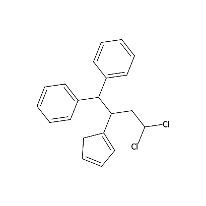 ClC(Cl)CC(C1=CC=CC1)C(c1ccccc1)c1ccccc1